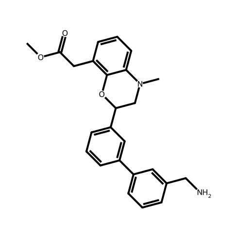 COC(=O)Cc1cccc2c1OC(c1cccc(-c3cccc(CN)c3)c1)CN2C